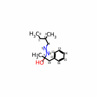 CCC(C)CN=NC(C)(O)Cc1ccccc1